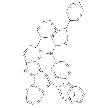 c1ccc(-c2ccc(N(c3ccc(-c4ccccc4)cc3)c3c(-c4ccccc4)ccc4oc5c6ccccc6c(-c6ccccc6)cc5c34)cc2)cc1